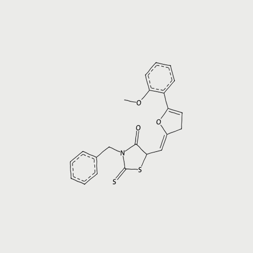 COc1ccccc1C1=CCC(=CC2SC(=S)N(Cc3ccccc3)C2=O)O1